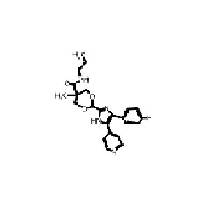 CCCNC(=O)C1(C)COC(c2nc(-c3ccc(F)cc3)c(-c3ccncc3)[nH]2)OC1